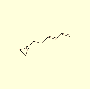 C=CC=CCCN1CC1